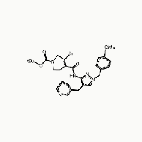 COc1ccc(Cn2cc(Cc3cccnc3)c(NC(=O)C3=C(Br)CN(C(=O)OC(C)(C)C)CC3)n2)cc1